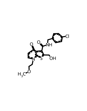 COCCn1ccc(=O)c2c(C(=O)NCc3ccc(Cl)cc3)c(CO)sc21